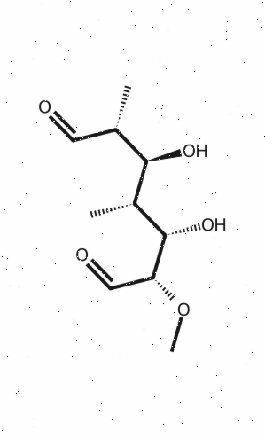 CO[C@H](C=O)[C@@H](O)[C@H](C)[C@H](O)[C@@H](C)C=O